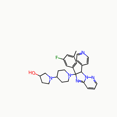 Cc1cc(F)cc(C2(N3CCC(N4CCC(O)C4)CC3)N=C3C=CC=NN3C2c2ccncc2)c1